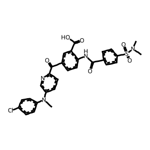 CN(c1ccc(Cl)cc1)c1ccc(C(=O)c2ccc(NC(=O)c3ccc(S(=O)(=O)N(C)C)cc3)c(C(=O)O)c2)nc1